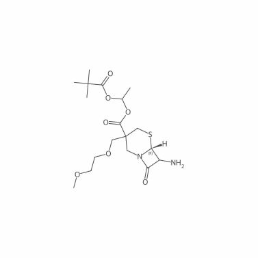 COCCOCC1(C(=O)OC(C)OC(=O)C(C)(C)C)CS[C@@H]2C(N)C(=O)N2C1